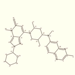 Cc1cnc2ccc(N(C)C3CC(C)N(c4cc(=O)n(C)c5cn(C6CCCCO6)nc45)CC3C)cc2n1